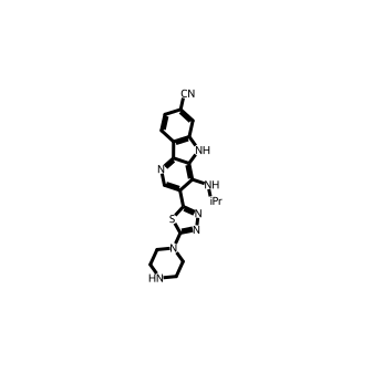 CC(C)Nc1c(-c2nnc(N3CCNCC3)s2)cnc2c1[nH]c1cc(C#N)ccc12